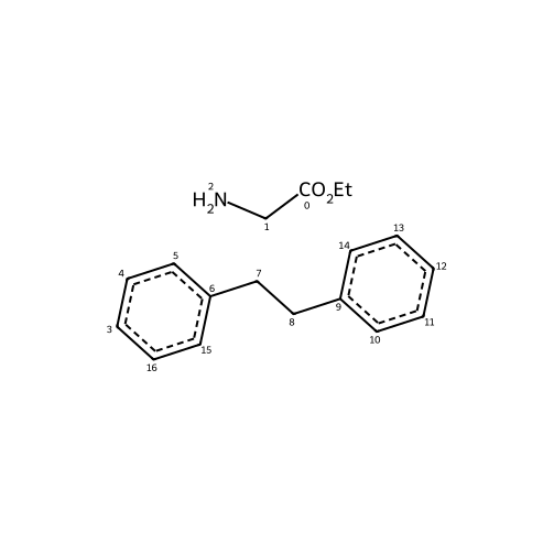 CCOC(=O)CN.c1ccc(CCc2ccccc2)cc1